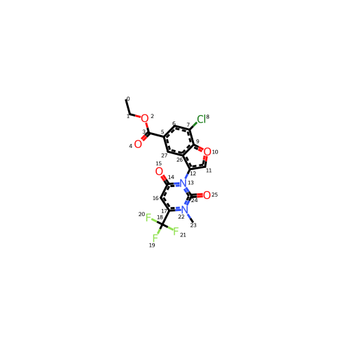 CCOC(=O)c1cc(Cl)c2occ(-n3c(=O)cc(C(F)(F)F)n(C)c3=O)c2c1